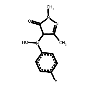 CC1=NN(C)C(=O)C1N(O)c1ccc(F)cc1